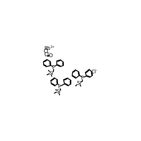 C[Si](C)(C)CP(c1ccccc1)c1ccccc1.C[Si](C)(C)CP(c1ccccc1)c1ccccc1.C[Si](C)(C)CP(c1ccccc1)c1ccccc1.[C]=O.[Cl-].[Cl-].[Cl-].[Rh+3]